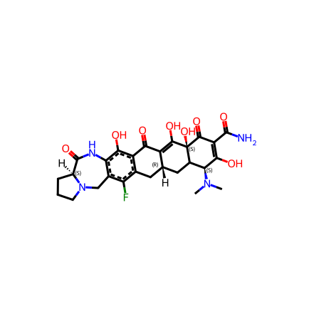 CN(C)[C@@H]1C(O)=C(C(N)=O)C(=O)[C@@]2(O)C(O)=C3C(=O)c4c(O)c5c(c(F)c4C[C@H]3CC12)CN1CCC[C@H]1C(=O)N5